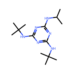 CC(C)Nc1nc(NC(C)(C)C)nc(NC(C)(C)C)n1